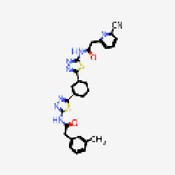 Cc1cccc(CC(=O)Nc2nnc([C@H]3CCC[C@H](c4nnc(NC(=O)Cc5cccc(C#N)n5)s4)C3)s2)c1